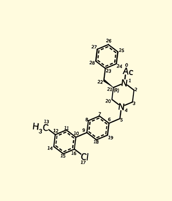 CC(=O)N1CCN(Cc2ccc(-c3cc(C)ccc3Cl)cc2)C[C@H]1Cc1ccccc1